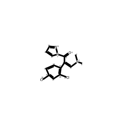 CN(C)C=C(C(=O)n1cccn1)c1ccc(Cl)cc1Cl